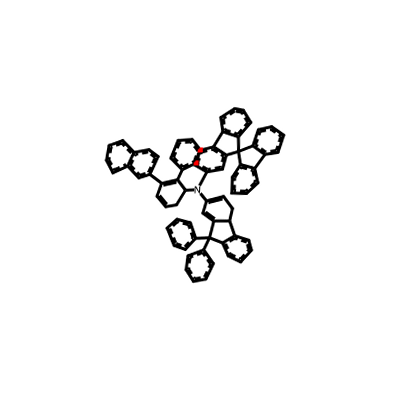 C1=CC(c2ccc3ccccc3c2)=C(c2ccccc2)C(N(C2=CCC3C(=C2)C(c2ccccc2)(c2ccccc2)c2ccccc23)c2ccc3c(c2)C2(c4ccccc4-c4ccccc42)c2ccccc2-3)C1